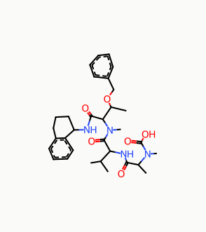 CC(C)C(NC(=O)C(C)N(C)C(=O)O)C(=O)N(C)C(C(=O)NC1CCCc2ccccc21)C(C)OCc1ccccc1